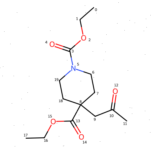 CCOC(=O)N1CCC(CC(C)=O)(C(=O)OCC)CC1